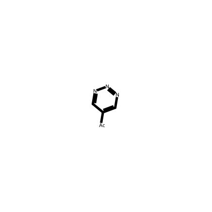 CC(=O)c1cnnnc1